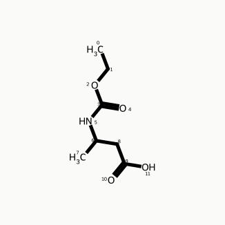 CCOC(=O)NC(C)CC(=O)O